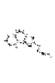 NOCc1nc2cnc3ccccc3c2s1